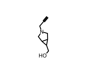 C#CCN1CC2C(CO)C2C1